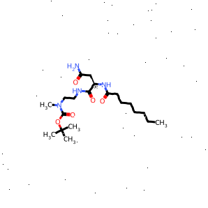 CCCCCCCC(=O)N[C@H](CC(N)=O)C(=O)NCCN(C)C(=O)OC(C)(C)C